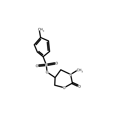 Cc1ccc(S(=O)(=O)OC2COC(=O)N(C)C2)cc1